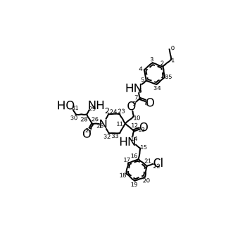 CCc1ccc(NC(=O)OCC2(C(=O)NCc3ccccc3Cl)CCN(C(=O)C(N)CO)CC2)cc1